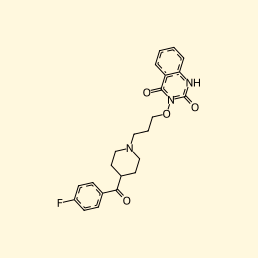 O=C(c1ccc(F)cc1)C1CCN(CCCOn2c(=O)[nH]c3ccccc3c2=O)CC1